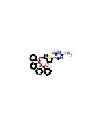 Nc1ncn([C@@H]2C[C@@H]3O[Si](c4ccccc4)(c4ccccc4)O[Si](c4ccccc4)(c4ccccc4)OC[C@H]3S2)c(=O)n1